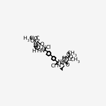 CC[C@H](NC(=O)OC)C(=O)N[C@@H](CC1CC1)c1nc(Cl)c(-c2ccc(-c3ccc(-c4[nH]c([C@@H]5C[C@H]6C[C@H]6N5C(=O)[C@H](CC)NC(=O)OC)nc4Cl)cc3)cc2)[nH]1